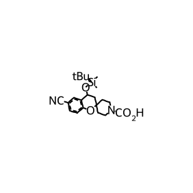 CC(C)(C)[Si](C)(C)OC1CC2(CCN(C(=O)O)CC2)Oc2ccc(C#N)cc21